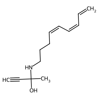 C#CC(C)(O)NCCC/C=C\C=C/C=C